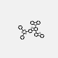 c1ccc(-c2nc(-c3ccccc3)nc(-c3ccc4c(c3)oc3c(-n5c6ccccc6c6ccccc65)ccc(-c5cccc6c5oc5ccccc56)c34)n2)cc1